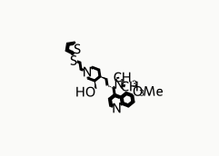 COc1ccc2nccc([C@H](CC[C@@H]3CCN(CCSc4cccs4)C[C@@H]3CO)N(C)C)c2c1